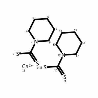 S=C([S-])N1CCCCC1.S=C([S-])N1CCCCC1.[Ca+2]